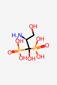 N[C@@H](CO)C(O)(P(=O)(O)O)P(=O)(O)O